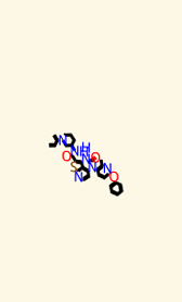 C=CC(=C)N1CCCC(NC(=O)c2sc3nccc4c3c2NC(=O)N4c2ccc(Oc3ccccc3)nc2C)C1